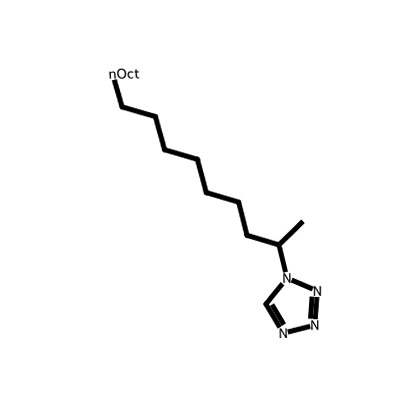 CCCCCCCCCCCCCCCC(C)n1cnnn1